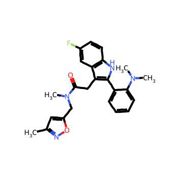 Cc1cc(CN(C)C(=O)Cc2c(-c3ccccc3N(C)C)[nH]c3ccc(F)cc23)on1